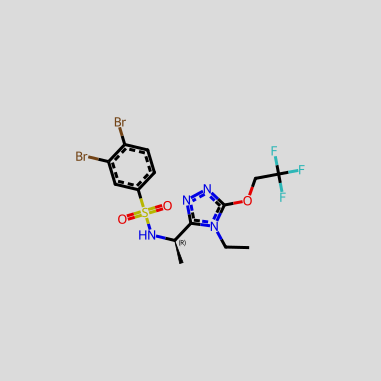 CCn1c(OCC(F)(F)F)nnc1[C@@H](C)NS(=O)(=O)c1ccc(Br)c(Br)c1